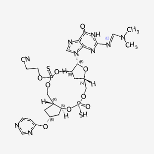 CN(C)/C=N/c1nc2c(ncn2[C@@H]2O[C@@H]3COP(=O)(S)O[C@H]4C[C@H](Oc5ccncn5)C[C@@H]4COP(=S)(OCCC#N)O[C@@H]2C3)c(=O)[nH]1